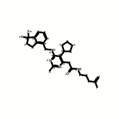 C=C(C)CCCNC(=O)Cc1nc(C)nc(NCc2cccc3c2CCC3(F)F)c1C1CCCC1